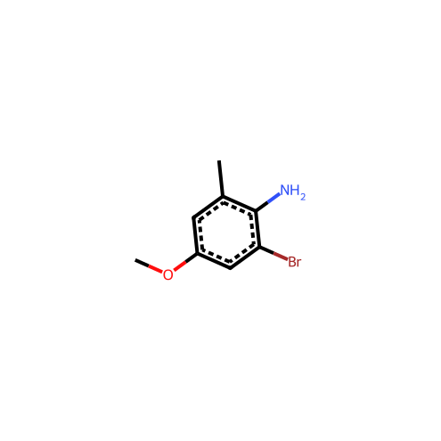 COc1cc(C)c(N)c(Br)c1